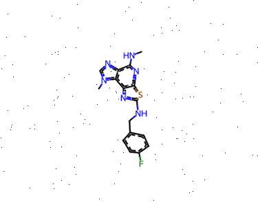 CNc1nc2sc(NCc3ccc(F)cc3)nc2c2c1ncn2C